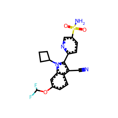 N#Cc1c(-c2ccc(S(N)(=O)=O)cn2)n(C2CCC2)c2cc(OC(F)F)ccc12